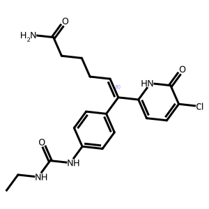 CCNC(=O)Nc1ccc(/C(=C\CCCC(N)=O)c2ccc(Cl)c(=O)[nH]2)cc1